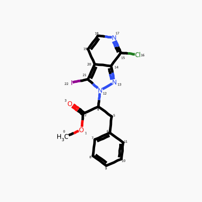 COC(=O)C(Cc1ccccc1)n1nc2c(Cl)nccc2c1I